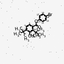 CC(C)(C)c1ccc(C(=O)Oc2ccc(Br)cc2)c(C(C)(C)C)c1O